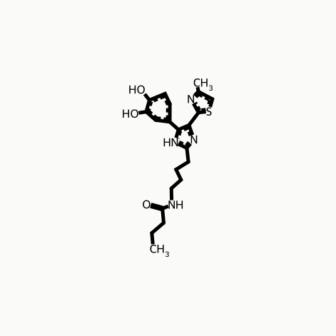 CCCC(=O)NCCCCc1nc(-c2nc(C)cs2)c(-c2ccc(O)c(O)c2)[nH]1